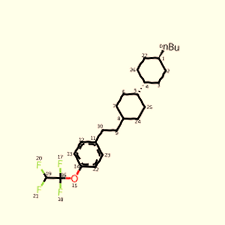 CCCC[C@H]1CC[C@H](C2CCC(CCc3ccc(OC(F)(F)C(F)F)cc3)CC2)CC1